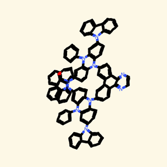 c1ccc(N2c3cc(-n4c5ccccc5c5ccccc54)ccc3N(c3ccc4c(c3)c3cc(N5c6ccc(-n7c8ccccc8c8ccccc87)cc6N(c6ccccc6)c6cc(-n7c8ccccc8c8ccccc87)ccc65)ccc3c3nccnc43)c3ccc(-n4c5ccccc5c5ccccc54)cc32)cc1